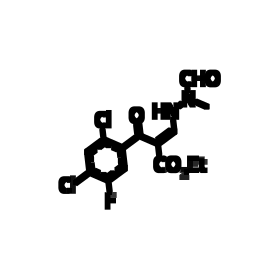 CCOC(=O)/C(=C/NN(C)C=O)C(=O)c1cc(F)c(Cl)cc1Cl